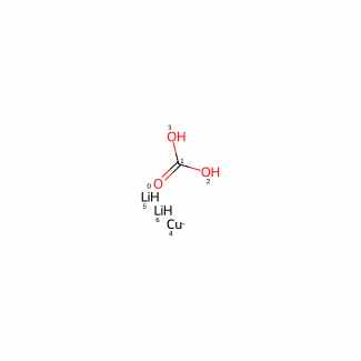 O=C(O)O.[Cu].[LiH].[LiH]